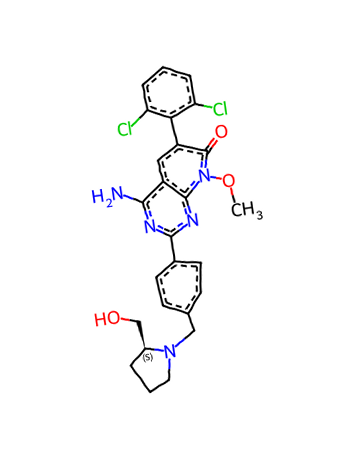 COn1c(=O)c(-c2c(Cl)cccc2Cl)cc2c(N)nc(-c3ccc(CN4CCC[C@H]4CO)cc3)nc21